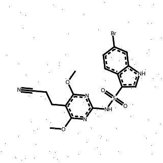 COc1nc(NS(=O)(=O)c2c[nH]c3cc(Br)ccc23)nc(OC)c1CCC#N